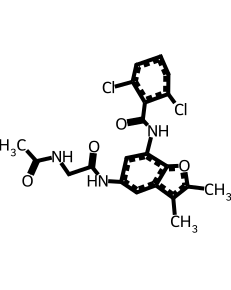 CC(=O)NCC(=O)Nc1cc(NC(=O)c2c(Cl)cccc2Cl)c2oc(C)c(C)c2c1